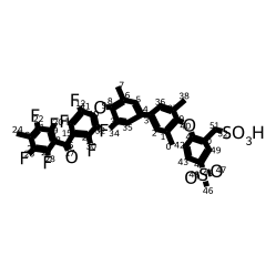 Cc1cc(-c2cc(C)c(Oc3c(F)c(F)c(C(=O)c4c(F)c(F)c(C)c(F)c4F)c(F)c3F)c(C)c2)cc(C)c1Oc1ccc(S(C)(=O)=O)cc1CS(=O)(=O)O